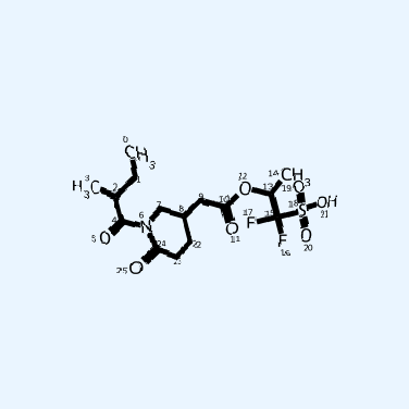 CCC(C)C(=O)N1CC(CC(=O)OC(C)C(F)(F)S(=O)(=O)O)CCC1=O